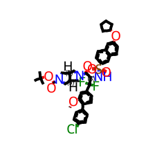 COc1cc(C(F)(F)[C@@H](NS(=O)(=O)c2ccc3cc(OC4CCCC4)ccc3c2)C(=O)N2C[C@H]3CN(C(=O)OC(C)(C)C)C[C@H]3C2)ccc1-c1ccc(Cl)cc1